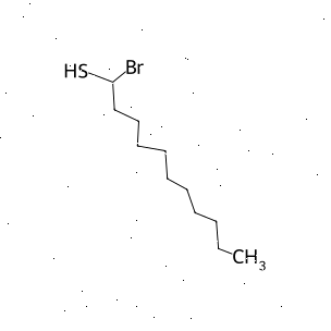 CCCCCCCCCCC(S)Br